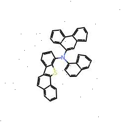 c1ccc2c(N(c3cc4ccccc4c4ccccc34)c3cccc4c3sc3c5ccccc5ccc43)cccc2c1